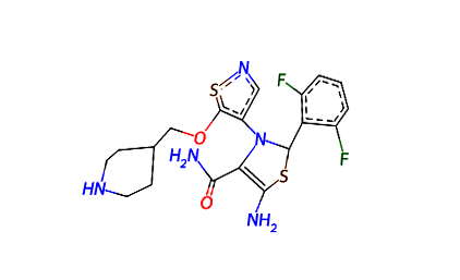 NC(=O)C1=C(N)SC(c2c(F)cccc2F)N1c1cnsc1OCC1CCNCC1